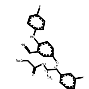 COCC(=O)N[C@@H](C)[C@H](Oc1ccc(Nc2ccc(F)cc2)c(C=N)c1)c1cccc(F)c1